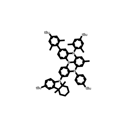 Cc1cc2c3c(c1)N(c1c(C)cc(C(C)(C)C)cc1C)c1cc(-c4c(C)cc(C(C)(C)C)cc4C)ccc1B3c1ccc(N3c4ccc(C(C)(C)C)cc4C4(C)CCCCC34C)cc1N2c1ccc(C(C)(C)C)cc1